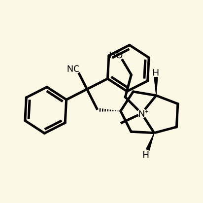 C[N+]1(CCO)[C@@H]2CC[C@H]1C[C@@H](CC(C#N)(c1ccccc1)c1ccccc1)C2